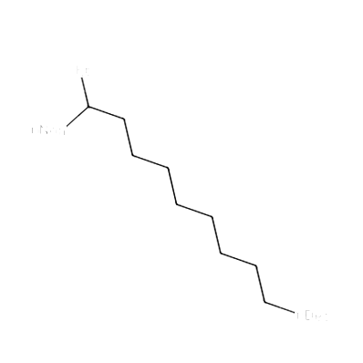 [CH2]CCCCCCCCCCCCCCCCCC(CC)CCCCCCCC[CH2]